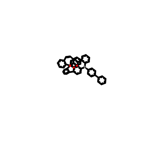 C1=Cc2ccccc2C2(c3ccccc31)c1ccccc1-c1ccc(N(c3ccc(-c4ccccc4)cc3)c3ccccc3-c3ccccc3)cc12